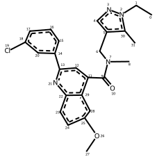 CCn1ncc(CN(C)C(=O)c2cc(-c3cccc(Cl)c3)nc3ccc(OC)cc23)c1C